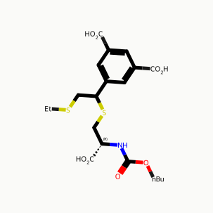 CCCCOC(=O)N[C@@H](CSC(CSCC)c1cc(C(=O)O)cc(C(=O)O)c1)C(=O)O